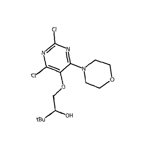 CC(C)(C)C(O)COc1c(Cl)nc(Cl)nc1N1CCOCC1